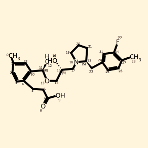 Cc1ccc(CCC(=O)O)c([C@@H](C)OC[C@H](O)CN2CCC[C@H]2Cc2ccc(C)c(F)c2)c1